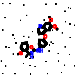 COc1cc2nccc(Oc3ccc(NC(=O)N[C@@H](C)c4ccccc4OC)cc3)c2cc1OC